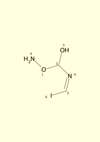 NOC(O)/N=C\I